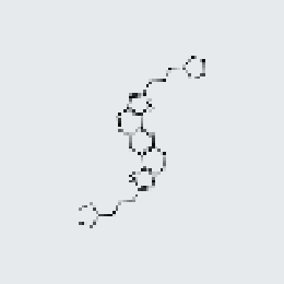 c1cc2cc(CCCC3CCCC3)sc2c2cc3ccc4cc(CCCC5CCCC5)sc4c3cc12